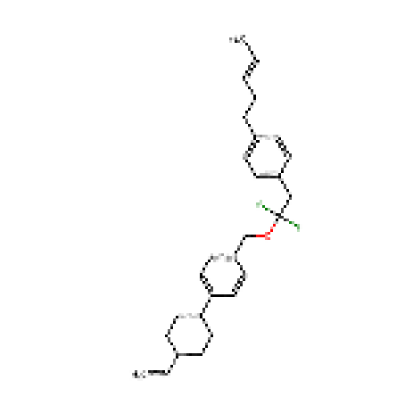 C=CC1CCC(c2ccc(COC(F)(F)Cc3ccc(CCC=CC)cc3)cc2)CC1